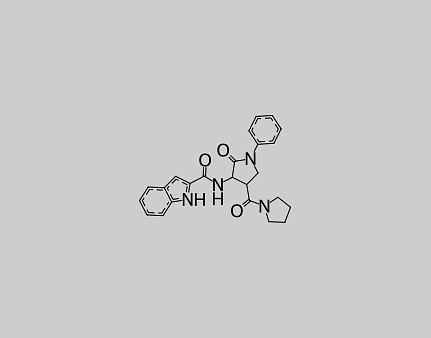 O=C(NC1C(=O)N(c2ccccc2)CC1C(=O)N1CCCC1)c1cc2ccccc2[nH]1